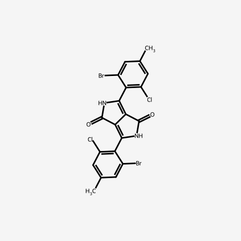 Cc1cc(Cl)c(C2=C3C(=O)NC(c4c(Cl)cc(C)cc4Br)=C3C(=O)N2)c(Br)c1